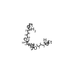 CCO[SiH2]CCCCOC(C)(C)CNCC(C)(C)OCCCC[SiH2]OCC